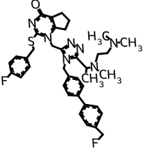 CC(c1nnc(Cn2c(SCc3ccc(F)cc3)nc(=O)c3c2CCC3)n1Cc1ccc(-c2ccc(CF)cc2)cc1)N(C)CCN(C)C